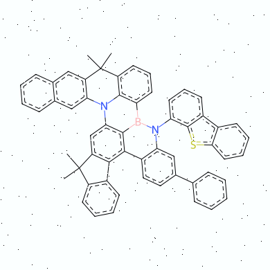 CC1(C)c2ccccc2-c2c1cc1c3c2-c2ccc(-c4ccccc4)cc2N(c2cccc4c2sc2ccccc24)B3c2cccc3c2N1c1cc2ccccc2cc1C3(C)C